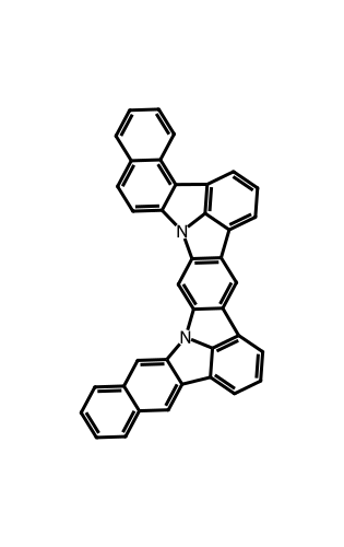 c1ccc2cc3c(cc2c1)c1cccc2c4cc5c6cccc7c8c9ccccc9ccc8n(c5cc4n3c12)c67